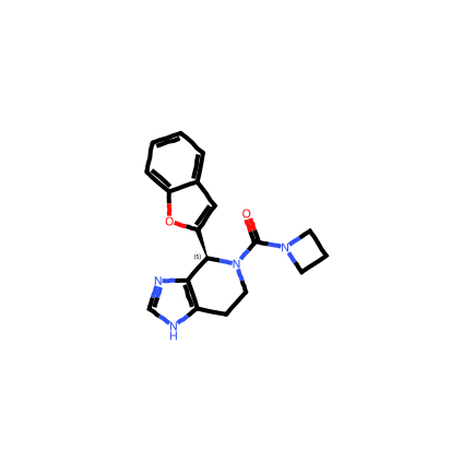 O=C(N1CCC1)N1CCc2[nH]cnc2[C@H]1c1cc2ccccc2o1